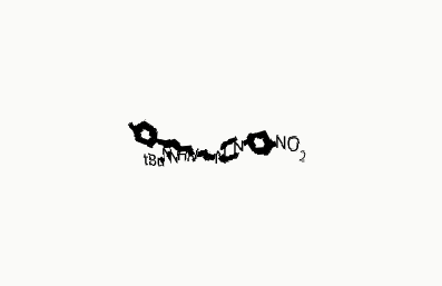 Cc1ccc(-c2cc(CNCCN3CCN(c4ccc([N+](=O)[O-])cc4)CC3)nn2C(C)(C)C)cc1